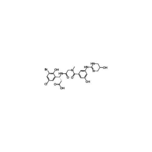 CN(CC(=O)N[C@H](CC(=O)O)c1cc(Cl)cc(Br)c1O)C(=O)c1cc(O)cc(NC2=NCC(O)CN2)c1